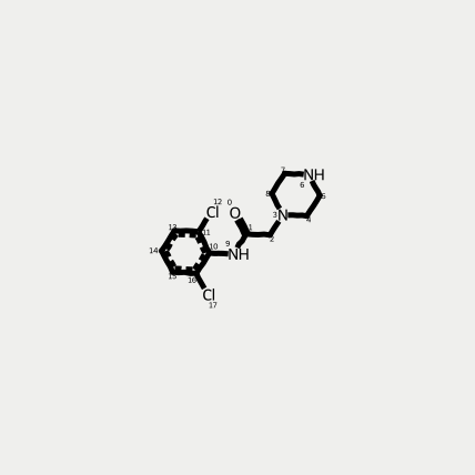 O=C(CN1CCNCC1)Nc1c(Cl)cccc1Cl